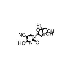 CC[C@]1(CO)O[C@@H](n2cc(C#N)c(O)nc2=O)C[C@@H]1O